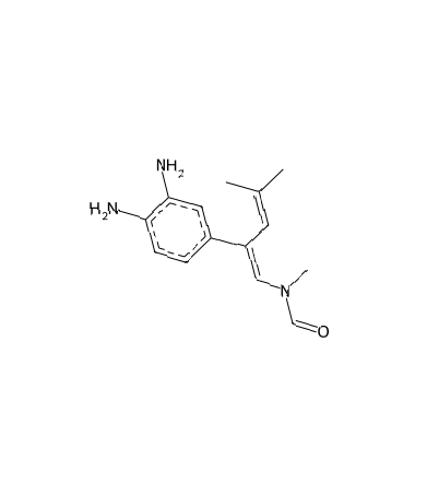 CC(C)=C/C(=C\N(C)C=O)c1ccc(N)c(N)c1